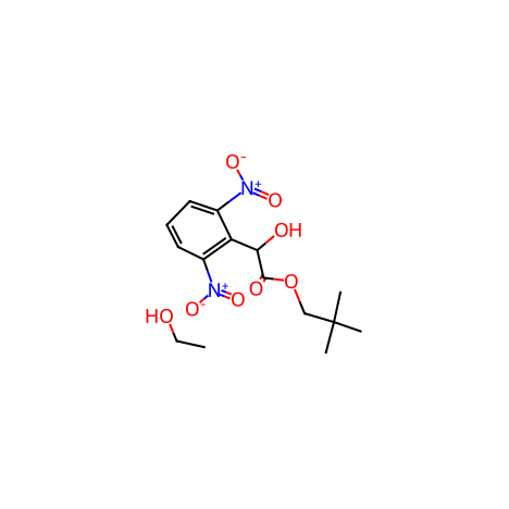 CC(C)(C)COC(=O)C(O)c1c([N+](=O)[O-])cccc1[N+](=O)[O-].CCO